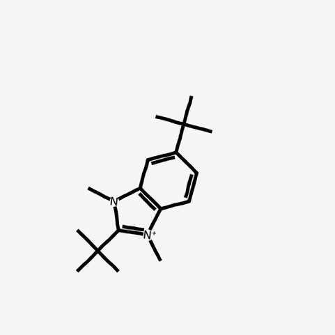 Cn1c(C(C)(C)C)[n+](C)c2ccc(C(C)(C)C)cc21